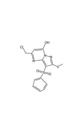 CSc1nn2c(O)cc(CCl)nc2c1S(=O)(=O)c1ccccc1